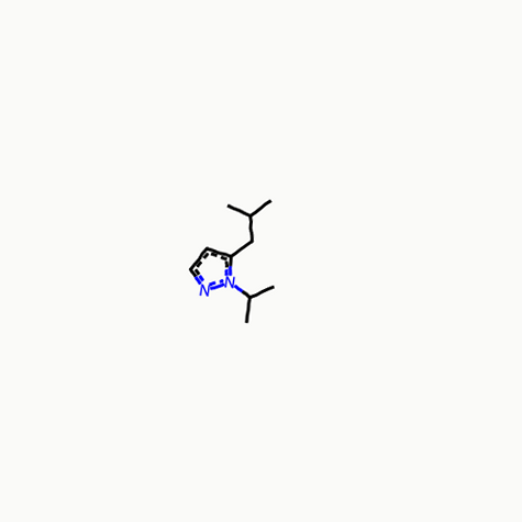 CC(C)Cc1ccnn1C(C)C